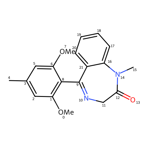 COc1cc(C)cc(OC)c1C1=NCC(=O)N(C)c2ccccc21